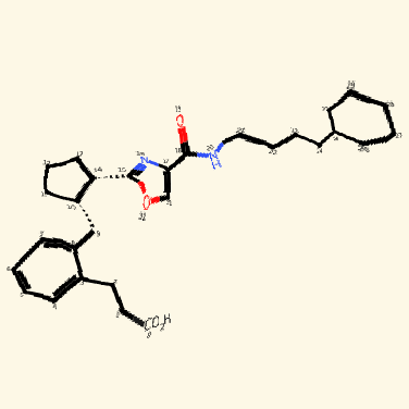 O=C(O)CCc1ccccc1C[C@@H]1CCC[C@@H]1c1nc(C(=O)NCCCCC2CCCCC2)co1